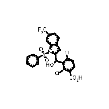 O=C(O)c1ccc(Cl)c(C(O)c2cc3ccc(C(F)(F)F)cc3n2S(=O)(=O)c2ccccc2)c1Cl